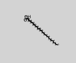 CCCCCCCCCCCCCCCCCCCCCCC/C=C/C=C/C(=O)O